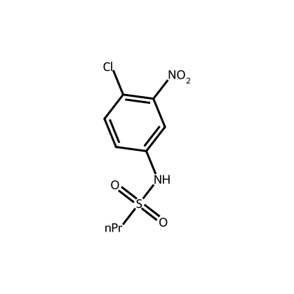 CCCS(=O)(=O)Nc1ccc(Cl)c([N+](=O)[O-])c1